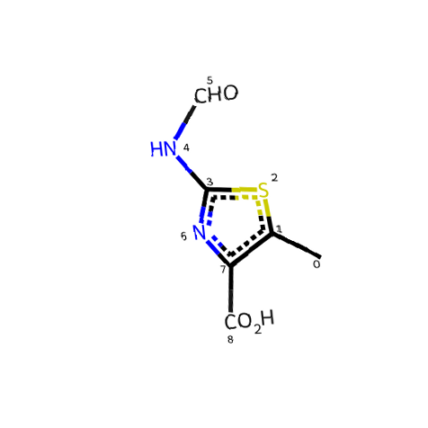 Cc1sc(NC=O)nc1C(=O)O